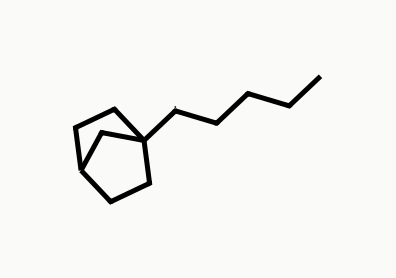 CCCC[CH]C12CCC(CC1)C2